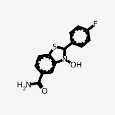 NC(=O)c1ccc2c(c1)N(O)C(c1ccc(F)cc1)S2